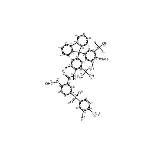 CNc1c(C)cc(C2(c3cc(C)c(NC(=O)c4cc(S(=O)(=O)c5ccc(C(=O)O)c(C(C)=O)c5)ccc4OC=O)c(C(O)(C(F)(F)F)C(F)(F)F)c3)c3ccccc3-c3ccccc32)cc1C(C)(C)O